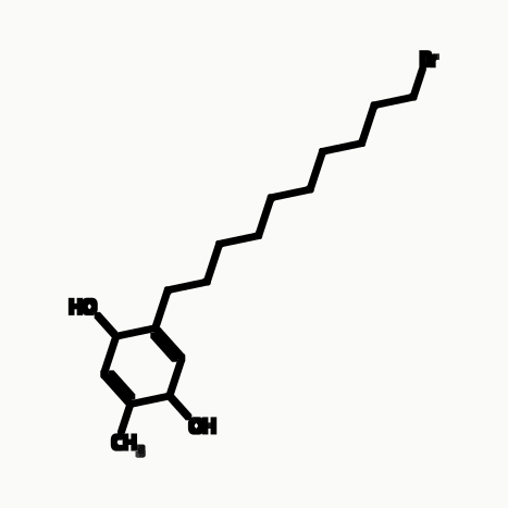 CC1=CC(O)C(CCCCCCCCCCBr)=CC1O